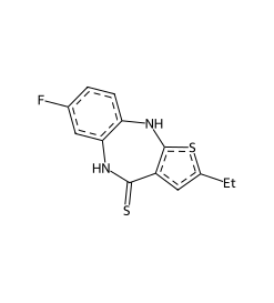 CCc1cc2c(s1)Nc1ccc(F)cc1NC2=S